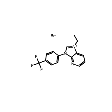 CC[n+]1cn(-c2ccc(C(F)(F)F)cc2)c2ncccc21.[Br-]